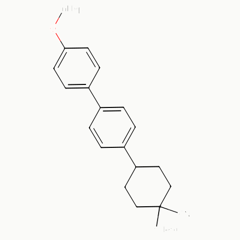 CCCCCCCOc1ccc(-c2ccc(C3CCC(C#N)(CCCCCCC)CC3)cc2)cc1